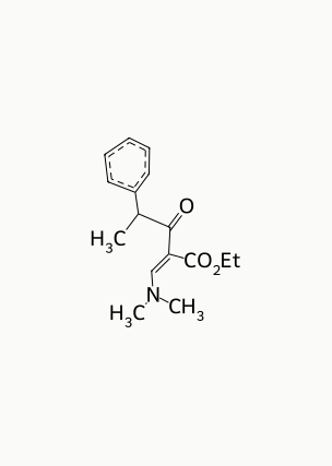 CCOC(=O)C(=CN(C)C)C(=O)C(C)c1ccccc1